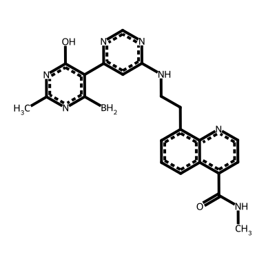 Bc1nc(C)nc(O)c1-c1cc(NCCc2cccc3c(C(=O)NC)ccnc23)ncn1